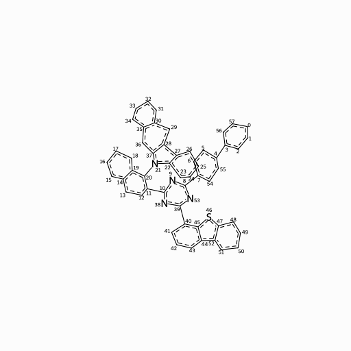 c1ccc(-c2ccc(-c3nc(-c4ccc5ccccc5c4-n4c5ccccc5c5cc6ccccc6cc54)nc(-c4cccc5c4sc4ccccc45)n3)cc2)cc1